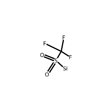 O=S(=O)([Si])C(F)(F)F